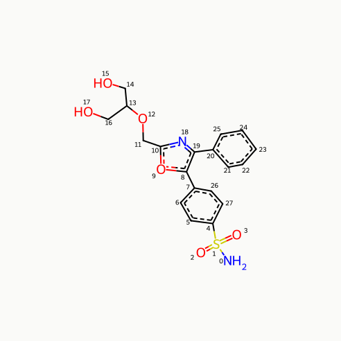 NS(=O)(=O)c1ccc(-c2oc(COC(CO)CO)nc2-c2ccccc2)cc1